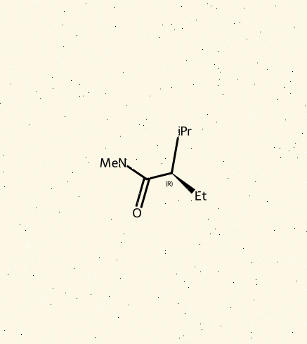 CC[C@@H](C(=O)NC)C(C)C